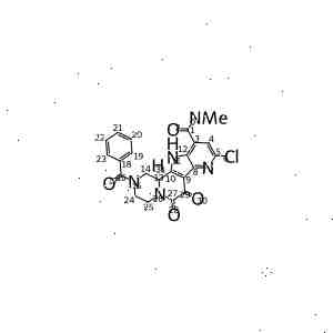 CNC(=O)c1cc(Cl)nc2c3c([nH]c12)[C@@H]1CN(C(=O)c2ccccc2)CCN1C(=O)C3=O